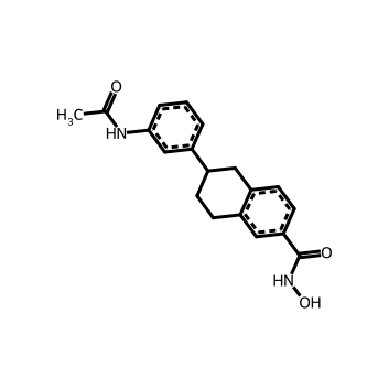 CC(=O)Nc1cccc(C2CCc3cc(C(=O)NO)ccc3C2)c1